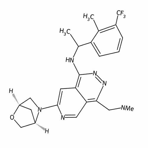 CNCc1nnc(NC(C)c2cccc(C(F)(F)F)c2C)c2cc(N3C[C@H]4C[C@@H]3CO4)ncc12